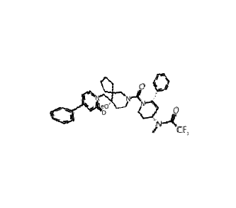 CO[C@@]1(Cn2ccc(-c3ccccc3)cc2=O)CCN(C(=O)N2CC[C@@H](N(C)C(=O)C(F)(F)F)C[C@H]2c2ccccc2)CC12CCCC2